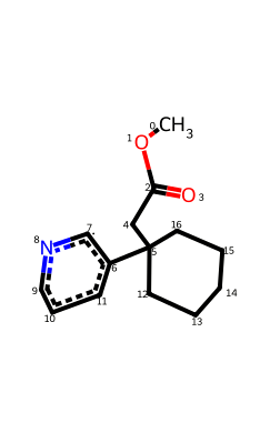 COC(=O)CC1(c2[c]nccc2)CCCCC1